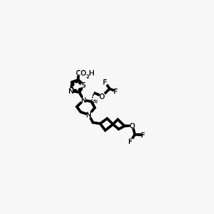 O=C(O)c1cnc(N2CCN(CC3CC4(C3)CC(OC(F)F)C4)C[C@H]2COC(F)F)s1